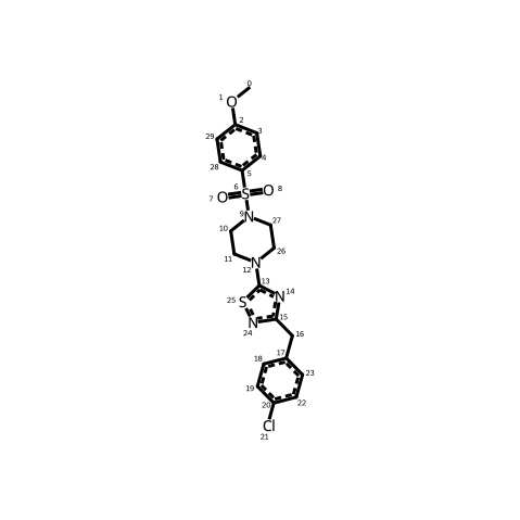 COc1ccc(S(=O)(=O)N2CCN(c3nc(Cc4ccc(Cl)cc4)ns3)CC2)cc1